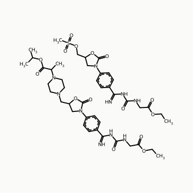 CCOC(=O)CNC(=O)NC(=N)c1ccc(N2CC(CN3CCN(C(C)C(=O)OC(C)C)CC3)OC2=O)cc1.CCOC(=O)CNC(=O)NC(=N)c1ccc(N2CC(COS(C)(=O)=O)OC2=O)cc1